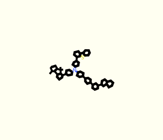 CC1CC=CC2=C1c1cccc(-c3ccc(N(c4ccc(-c5ccc(-c6cccc(-c7ccc8ccccc8c7)c6)cc5)cc4)c4ccc(-c5cccc6c5sc5ccccc56)cc4)cc3)c1C2(C)C